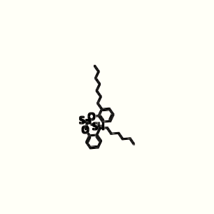 CCCCCCCc1ccccc1OP(=S)(S)Oc1ccccc1CCCCCCC